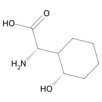 N[C@H](C(=O)O)C1CCCC[C@@H]1O